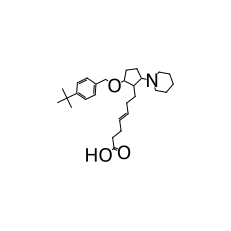 CC(C)(C)c1ccc(COC2CCC(N3CCCCC3)C2CCC=CCCC(=O)O)cc1